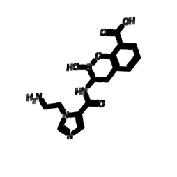 NCCn1cncc1C(=O)NC1Cc2cccc(C(=O)O)c2OB1O